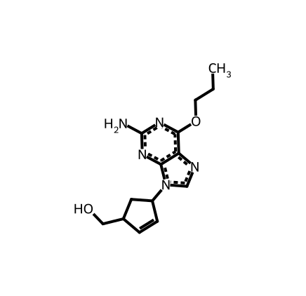 CCCOc1nc(N)nc2c1ncn2C1C=CC(CO)C1